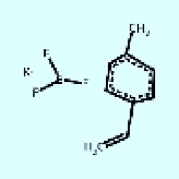 C=Cc1ccc(C)cc1.FB(F)F.[K]